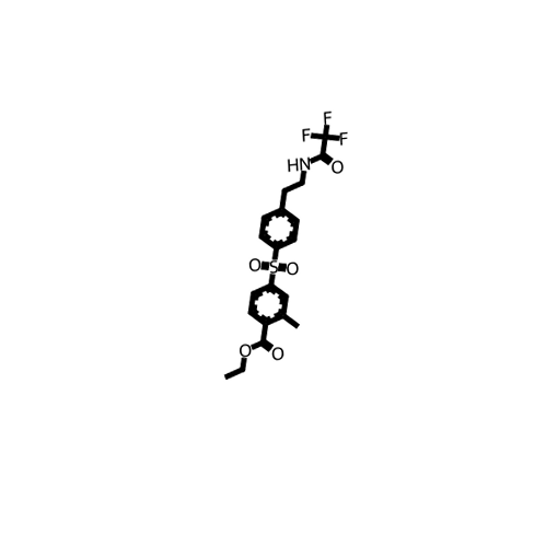 CCOC(=O)c1ccc(S(=O)(=O)c2ccc(CCNC(=O)C(F)(F)F)cc2)cc1C